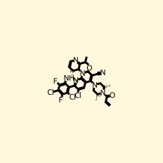 C=CC(=O)N1[C@H](C)CN(c2c(C#N)c(=O)n(C3C(C(C)C)=NC=C[C@H]3C)c3nc(-c4c(N)c(F)c(Cl)c(F)c4Cl)c(Cl)cc23)C[C@@H]1C